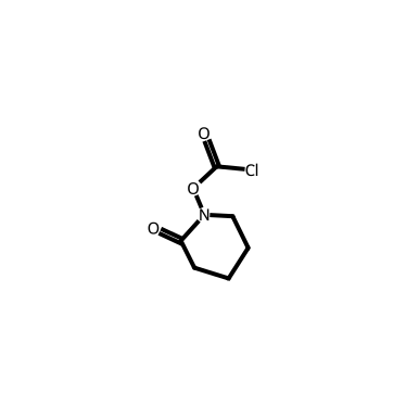 O=C(Cl)ON1CCCCC1=O